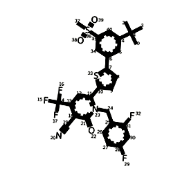 CC(C)(C)c1cc(-c2ccc(-c3cc(C(F)(F)F)c(C#N)c(=O)n3Cc3ccc(F)cc3F)s2)cc(S(C)(=O)=O)c1